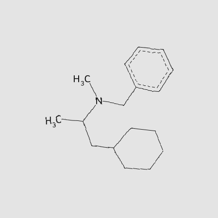 CC(CC1CCCCC1)N(C)Cc1ccccc1